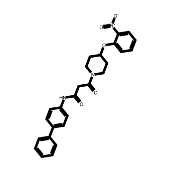 O=C(CC(=O)N1CCC(Oc2ccccc2[N+](=O)[O-])CC1)Nc1ccc(-c2ccccc2)cc1